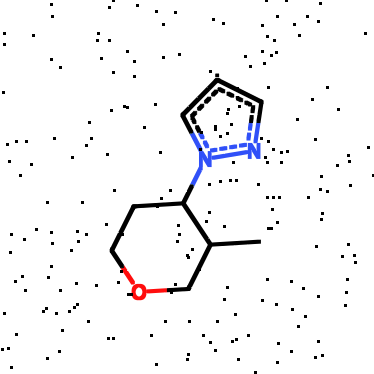 CC1COCCC1n1c[c]cn1